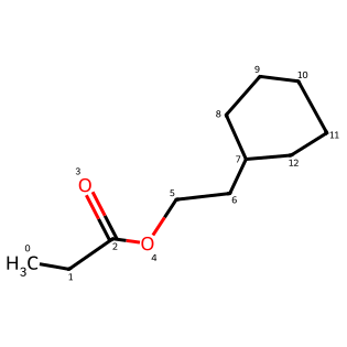 CCC(=O)OCCC1CCCCC1